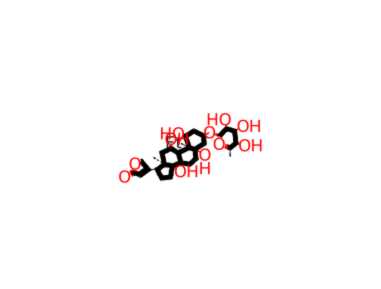 CC[C@@]12C3C(CC[C@]1(O)C[C@@H](O[C@@H]1O[C@@H](C)[C@H](O)[C@@H](O)[C@H]1O)C[C@H]2O)[C@@]1(O)CC[C@H](C2=CC(=O)OC2)[C@@]1(C)C[C@H]3O